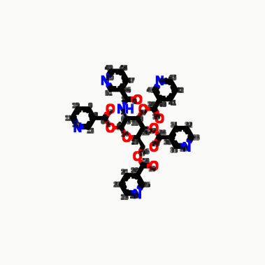 O=C(N[C@H]1[C@H](OC(=O)c2cccnc2)O[C@H](COC(=O)c2cccnc2)[C@@H](OC(=O)c2cccnc2)[C@@H]1OC(=O)c1cccnc1)c1cccnc1